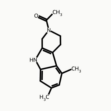 CC(=O)N1CCc2c([nH]c3cc(C)cc(C)c23)C1